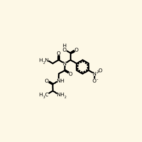 CC(N)C(=O)NCC(=O)N(C(=O)CN)C(C(=O)O)c1ccc([N+](=O)[O-])cc1